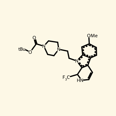 COc1ccc2c3c(n(CCN4CCN(C(=O)OC(C)(C)C)CC4)c2c1)C(C(F)(F)F)NC=C3